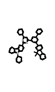 CC1(C)c2ccccc2-c2ccc(-c3cc(-c4ccccc4)cc(-c4cc(-c5ccccc5)nc(-c5ccc6c(c5)c5ccccc5n6-c5ccccc5)n4)c3)cc21